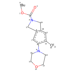 CC(C)(C)OC(=O)N1Cc2cc(N3CCOCC3)c(C(F)(F)F)cc2C1